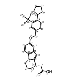 O=C(O)C[C@@H]1OCCn2c1cc1cc(OCc3ccc(C4CCCC4)c(C(F)(F)F)c3)ccc12